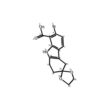 O=C(O)c1c(Br)ccc2c3c([nH]c12)CCC1(C3)OCCO1